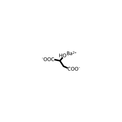 O=C([O-])CC(O)C(=O)[O-].[Ba+2]